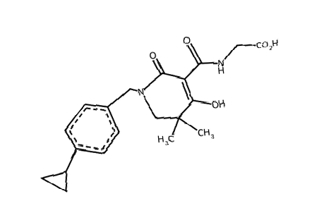 CC1(C)CN(Cc2ccc(C3CC3)cc2)C(=O)C(C(=O)NCC(=O)O)=C1O